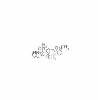 COc1ccccc1C(=O)NCc1ccc(-c2nn3c(c2C(N)=O)Nc2ccccc2CC3)c(OC)c1